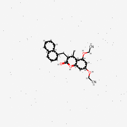 Cc1c(Cc2cccc3ccccc23)c(=O)oc2cc(OCC#N)cc(OCC#N)c12